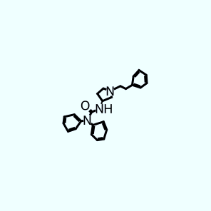 O=C(N[C@H]1CCN(CCc2ccccc2)C1)N(c1ccccc1)c1ccccc1